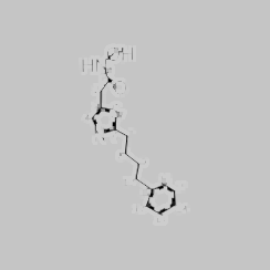 O=C(Cc1cnc(CCCCc2ccccc2)s1)NO